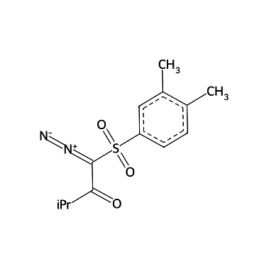 Cc1ccc(S(=O)(=O)C(=[N+]=[N-])C(=O)C(C)C)cc1C